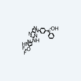 OC[C@H](c1ccccc1)c1ccc(-n2ncc3ncc(Nc4cc(OC(F)F)[nH]n4)nc32)cc1